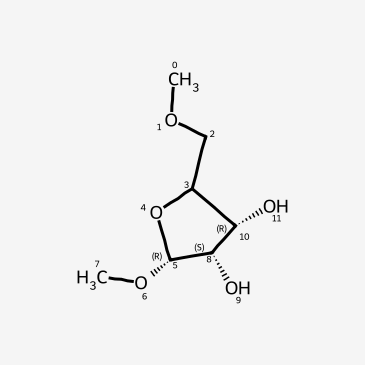 COCC1O[C@@H](OC)[C@@H](O)[C@H]1O